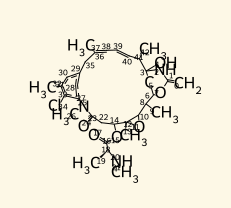 C=C1NC2(O)CC(O1)C(C)C1OC1(C)C(OC(=O)[C@H](C)NC)CC(=O)N(C)c1cc(cc(C)c1Cl)C/C(C)=C/C=C/C2C